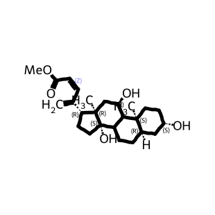 C=C(/C=C\C(=O)OC)[C@H]1CC[C@]2(O)C3CC[C@@H]4C[C@@H](O)CC[C@]4(C)C3[C@H](O)C[C@]12C